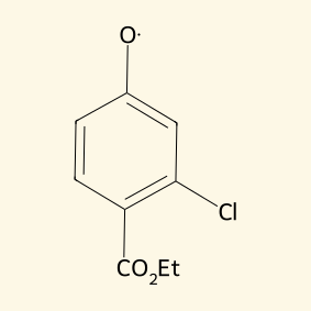 CCOC(=O)c1ccc([O])cc1Cl